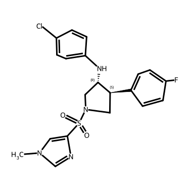 Cn1cnc(S(=O)(=O)N2C[C@H](Nc3ccc(Cl)cc3)[C@@H](c3ccc(F)cc3)C2)c1